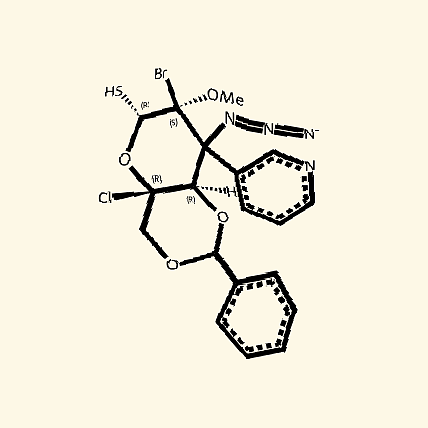 CO[C@@]1(Br)[C@@H](S)O[C@@]2(Cl)COC(c3ccccc3)O[C@@H]2C1(N=[N+]=[N-])c1cccnc1